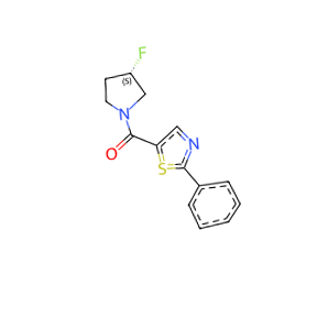 O=C(c1cnc(-c2ccccc2)s1)N1CC[C@H](F)C1